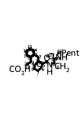 C=C(NC(=O)C1C2CCC(O2)C1Cc1ccccc1CCC(=O)O)C(=O)NCCCCC